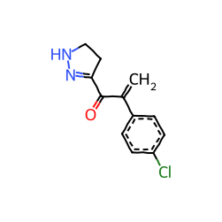 C=C(C(=O)C1=NNCC1)c1ccc(Cl)cc1